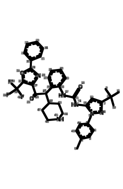 Cc1ccc(-n2nc(C(C)(C)C)cc2NC(=O)Nc2ccccc2C(C(=O)c2nc(-c3ccccc3)oc2C(F)(F)F)C2CCNCC2)cc1